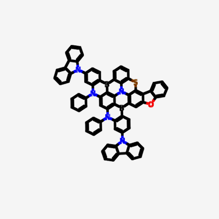 c1ccc(N2c3cc(-n4c5ccccc5c5ccccc54)ccc3B3c4cccc5c4N4c6c3c2cc2c6B(c3ccc(-n6c7ccccc7c7ccccc76)cc3N2c2ccccc2)c2cc3oc6ccccc6c3c(c24)S5)cc1